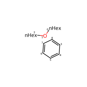 CCCCCCOCCCCCC.c1ccccc1